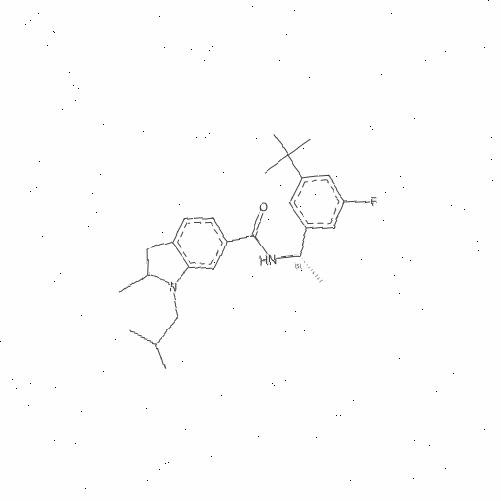 CC(C)CN1c2cc(C(=O)N[C@@H](C)c3cc(F)cc(C(C)(C)C)c3)ccc2CC1C